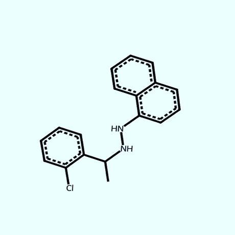 CC(NNc1cccc2ccccc12)c1ccccc1Cl